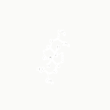 CC(C)O[C@H]1CO[C@H]2[C@@H]1OC[C@@H]2OC(C)C